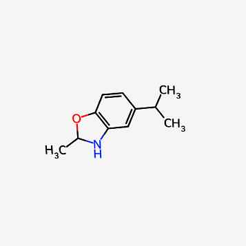 CC1Nc2cc(C(C)C)ccc2O1